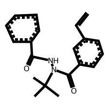 C=Cc1cccc(C(=O)N(NC(=O)c2ccccc2)C(C)(C)C)c1